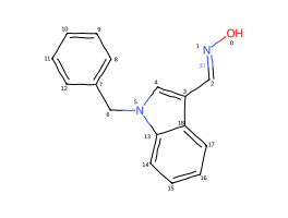 O/N=C/c1cn(Cc2ccccc2)c2ccccc12